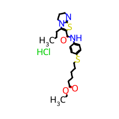 CCCC1=C(C(=O)Nc2ccc(SCCCCCC(=O)OCC)cc2)SC2=NCCCN21.Cl